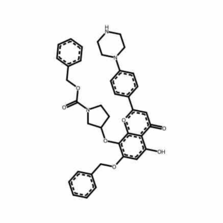 O=C(OCc1ccccc1)N1CCC(Oc2c(OCc3ccccc3)cc(O)c3c(=O)cc(-c4ccc(N5CCNCC5)cc4)oc23)C1